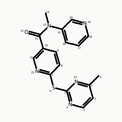 Cc1ccnc(Sc2ccc(C(=O)N(C)c3cccnc3)cn2)n1